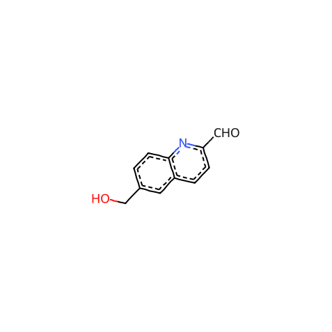 O=Cc1ccc2cc(CO)ccc2n1